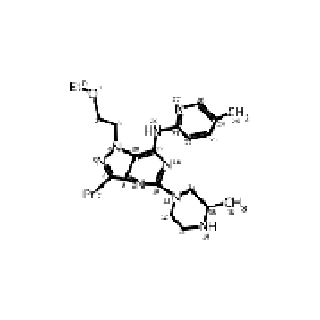 CCOCCn1nc(C(C)C)c2nc(N3CCN[C@H](C)C3)nc(Nc3ccc(C)cn3)c21